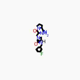 N#CC1CCCN1C(=O)C(N)CN1C[C@@H]2CC1C(=O)N2Cc1cccc(F)c1